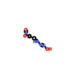 O=C(c1ccc(C2CCC(=CNCCN3CCN(CCO)CC3)CC2)cc1)N1CCOCC1